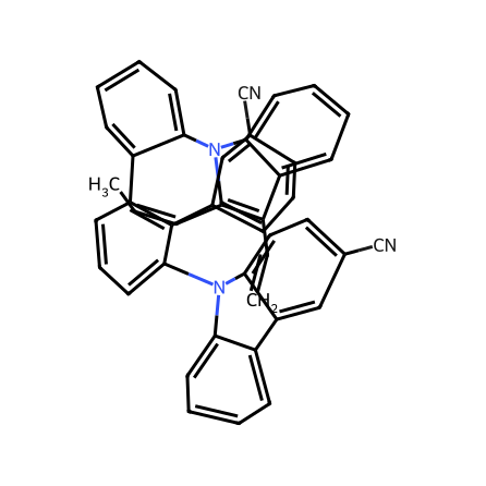 C=Cc1c(/C=C\C)n(-c2ccccc2-c2cccc(-n3c4ccccc4c4cc(C#N)ccc43)c2-c2cccc(C#N)c2)c2ccccc12